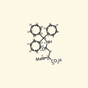 CN[C@@H](CC(=O)NC(c1ccccc1)(c1ccccc1)c1ccccc1)C(=O)O